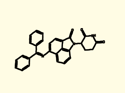 O=C1CCC(N2C(=O)c3ccc(N=C(c4ccccc4)c4ccccc4)c4cccc2c34)C(=O)N1